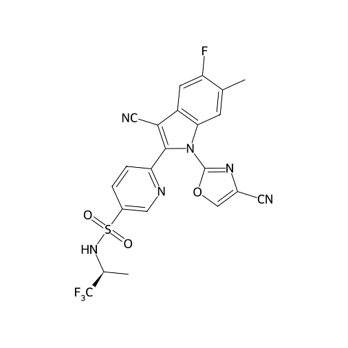 Cc1cc2c(cc1F)c(C#N)c(-c1ccc(S(=O)(=O)N[C@@H](C)C(F)(F)F)cn1)n2-c1nc(C#N)co1